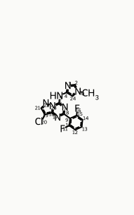 Cn1cnc(Nc2nc(-c3c(F)cccc3F)nc3c(Cl)cnn23)c1